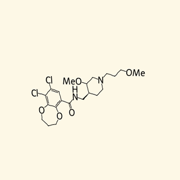 COCCCN1CC[C@@H](CNC(=O)c2cc(Cl)c(Cl)c3c2OCCCO3)C(OC)C1